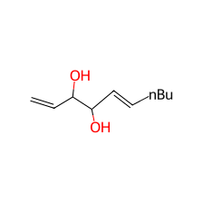 C=CC(O)C(O)C=CCCCC